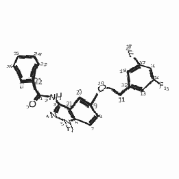 O=C(Nc1n[nH]c2ccc(OCc3cc(F)cc(F)c3)cc12)c1ccccc1